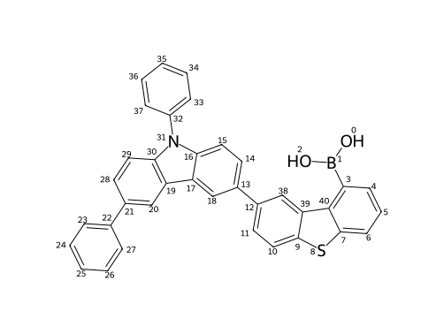 OB(O)c1cccc2sc3ccc(-c4ccc5c(c4)c4cc(-c6ccccc6)ccc4n5-c4ccccc4)cc3c12